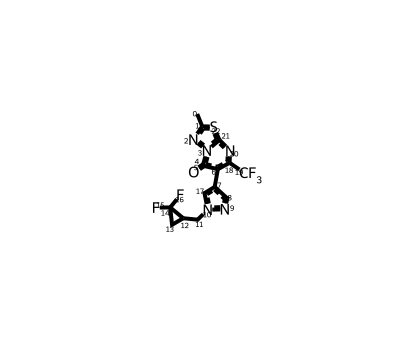 Cc1nn2c(=O)c(-c3cnn(CC4CC4(F)F)c3)c(C(F)(F)F)nc2s1